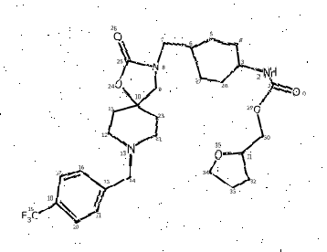 O=C(NC1CCC(CN2CC3(CCN(Cc4ccc(C(F)(F)F)cc4)CC3)OC2=O)CC1)OCC1CCCO1